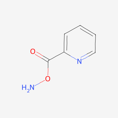 NOC(=O)c1ccccn1